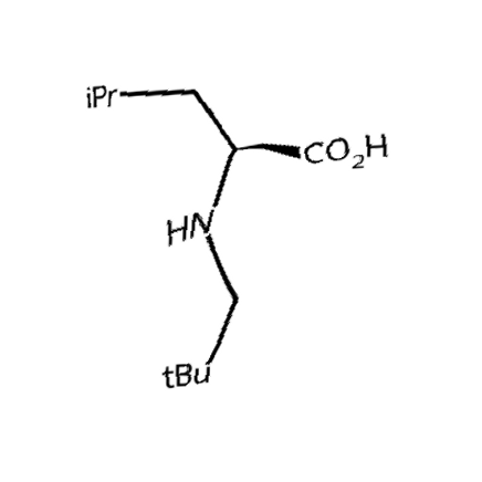 CC(C)C[C@H](NCC(C)(C)C)C(=O)O